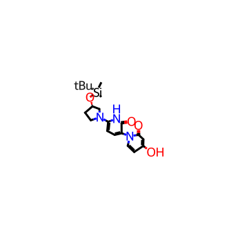 CC(C)(C)[Si](C)(C)O[C@@H]1CCN(c2ccc(-n3ccc(O)cc3=O)c(=O)[nH]2)C1